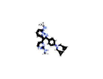 CCCCNc1nccc(-c2c(-c3ccc(N(CC4CC4)CC4CC4)cc3)nn3c(NCCCC)cccc23)n1